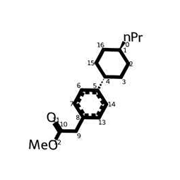 CCC[C@H]1CC[C@H](c2ccc(CC(=O)OC)cc2)CC1